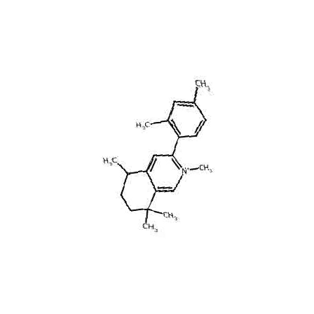 Cc1ccc(-c2cc3c(c[n+]2C)C(C)(C)CCC3C)c(C)c1